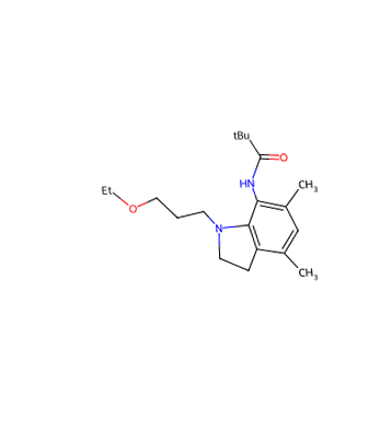 CCOCCCN1CCc2c(C)cc(C)c(NC(=O)C(C)(C)C)c21